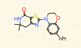 CCCc1ccc2c(c1)OCCN2c1nc2c(s1)C(=O)NC(C)(C)C2